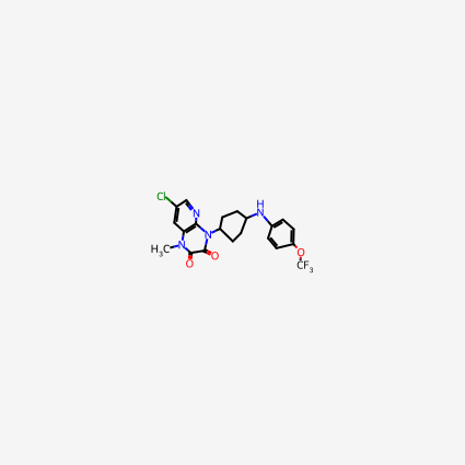 Cn1c(=O)c(=O)n(C2CCC(Nc3ccc(OC(F)(F)F)cc3)CC2)c2ncc(Cl)cc21